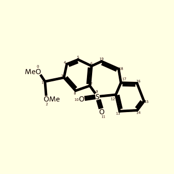 COC(OC)c1ccc2c(c1)S(=O)(=O)c1ccccc1C=C2